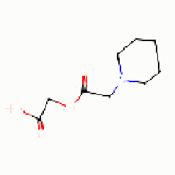 O=C(O)COC(=O)CN1CCCCC1